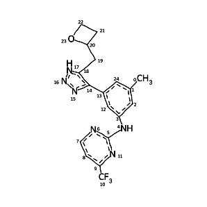 Cc1cc(Nc2nccc(C(F)(F)F)n2)cc(-c2nn[nH]c2CC2CCO2)c1